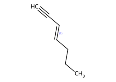 C#C/C=C/CCC